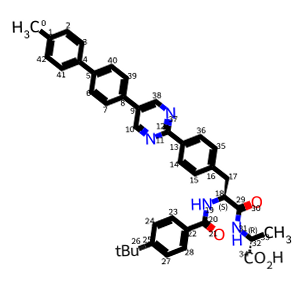 Cc1ccc(-c2ccc(-c3cnc(-c4ccc(C[C@H](NC(=O)c5ccc(C(C)(C)C)cc5)C(=O)N[C@H](C)C(=O)O)cc4)nc3)cc2)cc1